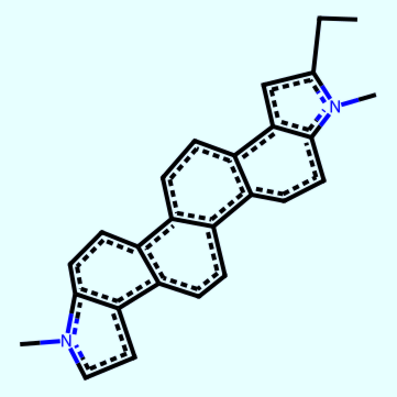 CCc1cc2c3ccc4c(ccc5c4ccc4c5ccn4C)c3ccc2n1C